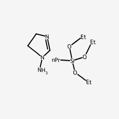 CCC[Si](OCC)(OCC)OCC.NN1C=NCC1